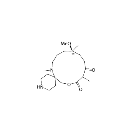 CO[C@]1(C)CCCN(C)C2(CCNCC2)COC(=O)C(C)C(=O)CC1